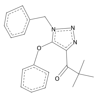 CC(C)(C)C(=O)c1nnn(Cc2ccccc2)c1Oc1ccccc1